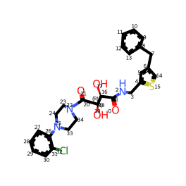 O=C(NCc1cc(Cc2ccccc2)cs1)[C@H](O)[C@@H](O)C(=O)N1CCN(c2ccccc2Cl)CC1